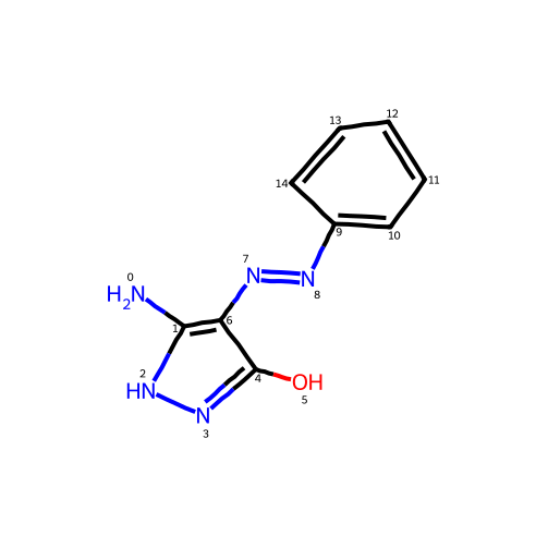 Nc1[nH]nc(O)c1N=Nc1ccccc1